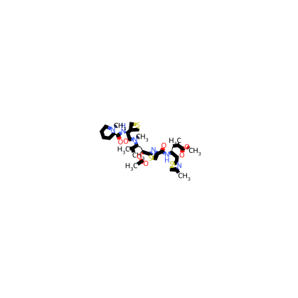 COC(=O)[C@@H](C)C[C@H](Cc1nc(C)cs1)NC(=O)c1csc([C@@H](C[C@H](C(C)C)N(C)C(=O)[C@@H](NC(=O)[C@H]2CCCCN2C)C2CSC2)OC(C)=O)n1